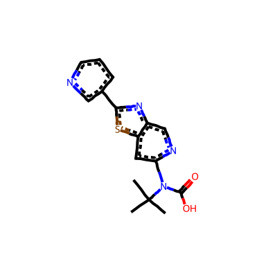 CC(C)(C)N(C(=O)O)c1cc2sc(-c3cccnc3)nc2cn1